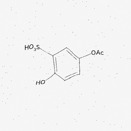 CC(=O)Oc1ccc(O)c(S(=O)(=O)O)c1